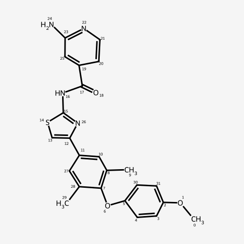 COc1ccc(Oc2c(C)cc(-c3csc(NC(=O)c4ccnc(N)c4)n3)cc2C)cc1